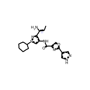 C/C=C(\N)c1nn(C2CCCCC2)cc1NC(=O)c1coc(-c2cn[nH]c2)n1